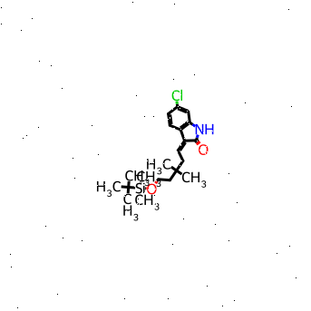 CC(C)(CC=C1C(=O)Nc2cc(Cl)ccc21)CCO[Si](C)(C)C(C)(C)C